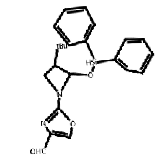 CC(C)(C)C1CN(c2nc(C=O)co2)C1O[SiH](c1ccccc1)c1ccccc1